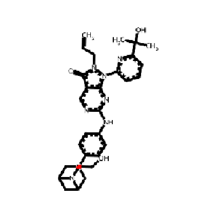 C=CCn1c(=O)c2cnc(Nc3ccc(N4CC5CC(C4)N5CCO)cc3)nc2n1-c1cccc(C(C)(C)O)n1